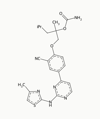 Cc1csc(Nc2nccc(-c3ccc(OCC(C)(CC(C)C)OC(N)=O)c(C#N)c3)n2)n1